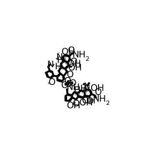 COc1ccc(CN(C)C)cc1-c1ccc(OS(=O)(=O)NCc2ccc(O)c3c2C[C@H]2C[C@H]4[C@H](N(C)C)C(O)=C(C(N)=O)C(=O)[C@@]4(O)C(O)=C2C3=O)c2c1C[C@H]1C[C@H]3[C@H](N(C)C)C(O)=C(C(N)=O)C(=O)[C@@]3(O)C(O)=C1C2=O